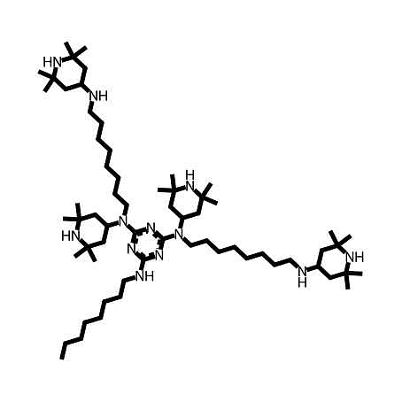 CCCCCCCCNc1nc(N(CCCCCCCCNC2CC(C)(C)NC(C)(C)C2)C2CC(C)(C)NC(C)(C)C2)nc(N(CCCCCCCCNC2CC(C)(C)NC(C)(C)C2)C2CC(C)(C)NC(C)(C)C2)n1